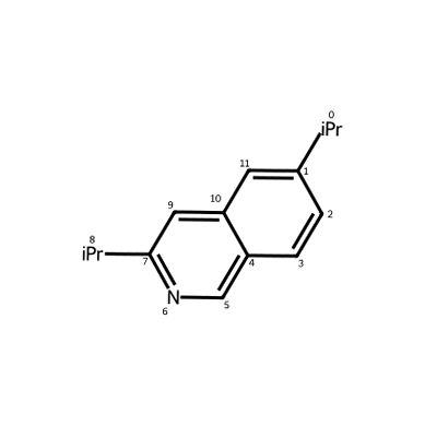 CC(C)c1ccc2cnc(C(C)C)cc2c1